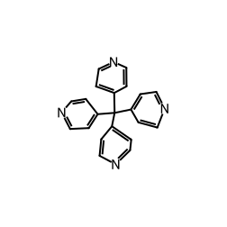 c1cc(C(c2ccncc2)(c2ccncc2)c2ccncc2)ccn1